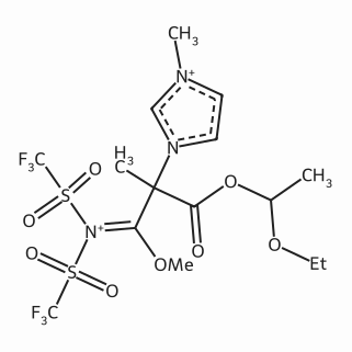 CCOC(C)OC(=O)C(C)(C(OC)=[N+](S(=O)(=O)C(F)(F)F)S(=O)(=O)C(F)(F)F)n1cc[n+](C)c1